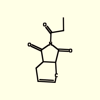 CCC(=O)N1C(=O)C2CC=CCC2C1=O